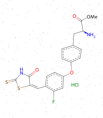 COC(=O)[C@@H](N)Cc1ccc(Oc2ccc(/C=C3/SC(=S)NC3=O)c(F)c2)cc1.Cl